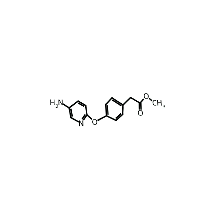 COC(=O)Cc1ccc(Oc2ccc(N)cn2)cc1